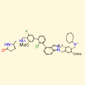 COc1cc(Cn2ncc3c(-c4cccc(-c5cc(F)c(CNCC6CCC(=O)N6)c(OC)c5)c4Cl)cccc32)c(C(F)(F)F)cc1CN(C)C1CCCCC1